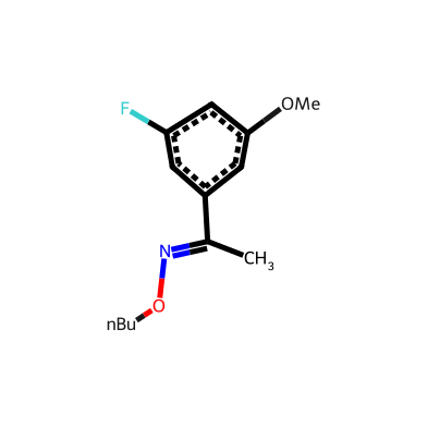 CCCCO/N=C(\C)c1cc(F)cc(OC)c1